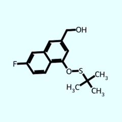 CC(C)(C)SOc1cc(CO)cc2cc(F)ccc12